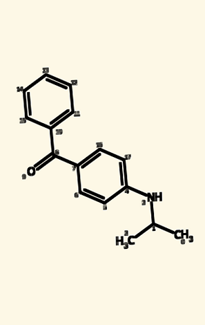 CC(C)Nc1ccc(C(=O)c2ccccc2)cc1